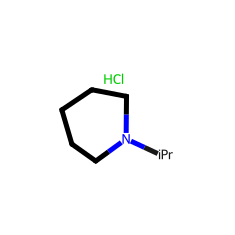 CC(C)N1CCCCC1.Cl